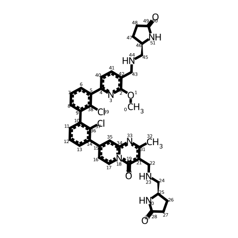 COc1nc(-c2cccc(-c3cccc(-c4ccn5c(=O)c(CNC[C@H]6CCC(=O)N6)c(C)nc5c4)c3Cl)c2Cl)ccc1CNC[C@H]1CCC(=O)N1